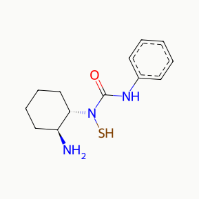 N[C@H]1CCCC[C@@H]1N(S)C(=O)Nc1ccccc1